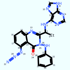 CCC(Nc1ncnc2[nH]cnc12)c1nc2cccc(N=[N+]=[N-])c2c(=O)n1Nc1ccccc1